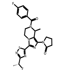 CC1c2c(N3CCCC3=O)nc(-c3nc([C@@H](C)F)ns3)n2CCN1C(=O)c1ccc(F)cc1